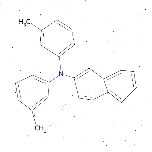 Cc1cccc(N(c2cccc(C)c2)c2ccc3ccccc3c2)c1